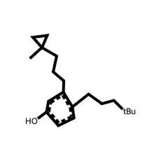 CC(C)(C)CCCc1ccc(O)cc1CCCC1(C)CC1